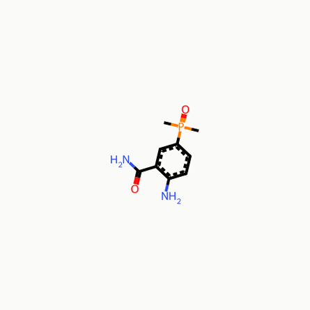 CP(C)(=O)c1ccc(N)c(C(N)=O)c1